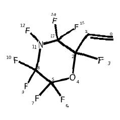 C=CC1(F)OC(F)(F)C(F)(F)N(F)C1(F)F